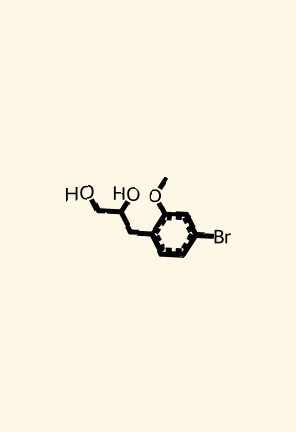 COc1cc(Br)ccc1CC(O)CO